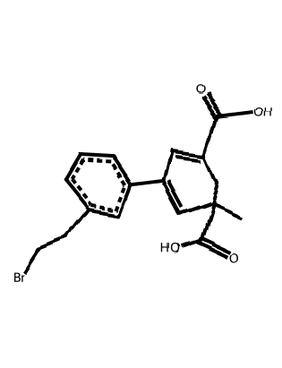 CC1(C(=O)O)C=C(c2cccc(CCBr)c2)C=C(C(=O)O)C1